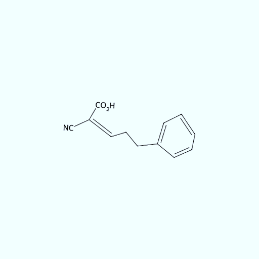 N#CC(=CCCc1ccccc1)C(=O)O